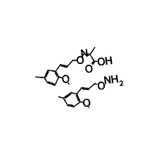 COc1ccc(C)cc1C=CCON.COc1ccc(C)cc1C=CCON=C(C)C(=O)O